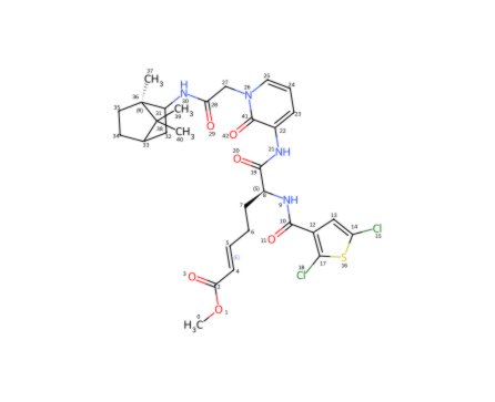 COC(=O)/C=C/CC[C@H](NC(=O)c1cc(Cl)sc1Cl)C(=O)Nc1cccn(CC(=O)NC2CC3CC[C@]2(C)C3(C)C)c1=O